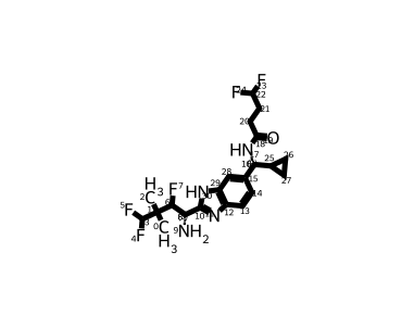 CC(C)(C(F)F)C(F)[C@@H](N)c1nc2ccc([C@H](NC(=O)CCC(F)F)C3CC3)cc2[nH]1